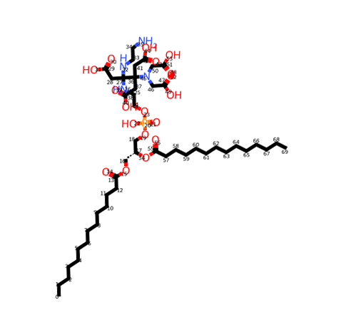 CCCCCCCCCCCCCC(=O)OC[C@H](COP(=O)(O)OCCNC(CC(=O)O)(NCCN)C(CC(=O)O)(CC(=O)O)N(CC(=O)O)CC(=O)O)OC(=O)CCCCCCCCCCCCC